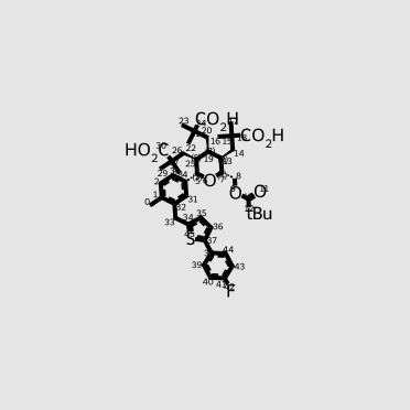 Cc1ccc([C@H]2O[C@@H](COC(=O)C(C)(C)C)[C@H](CC(C)(C)C(=O)O)[C@H](CC(C)(C)C(=O)O)[C@@H]2CC(C)(C)C(=O)O)cc1Cc1ccc(-c2ccc(F)cc2)s1